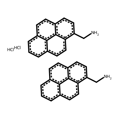 Cl.Cl.NCc1ccc2ccc3cccc4ccc1c2c34.NCc1ccc2ccc3cccc4ccc1c2c34